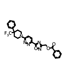 O=C(OCc1noc(-c2ccc(N3CCC(c4ccccc4)(C(F)(F)F)CC3)nn2)n1)c1ccccc1